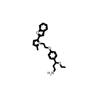 CCOC(CCN)c1ccc(OCCn2c(C)ccc2-c2cc3ccccc3o2)cc1